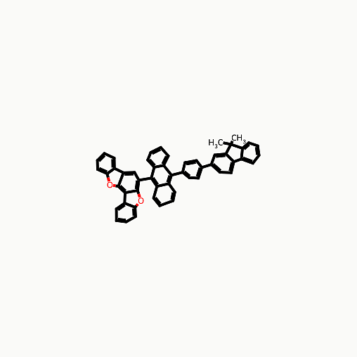 CC1(C)c2ccccc2-c2ccc(-c3ccc(-c4c5ccccc5c(-c5cc6c7ccccc7oc6c6c5oc5ccccc56)c5ccccc45)cc3)cc21